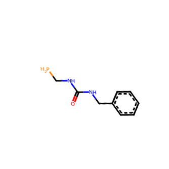 O=C(NCP)NCc1ccccc1